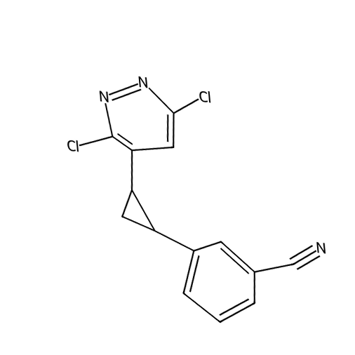 N#Cc1cccc(C2CC2c2cc(Cl)nnc2Cl)c1